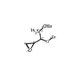 CCOC([SiH2]OC)C1CO1